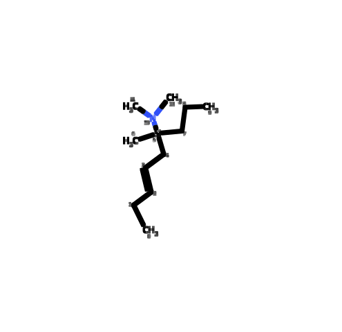 CCC=CC[Si](C)(CCC)N(C)C